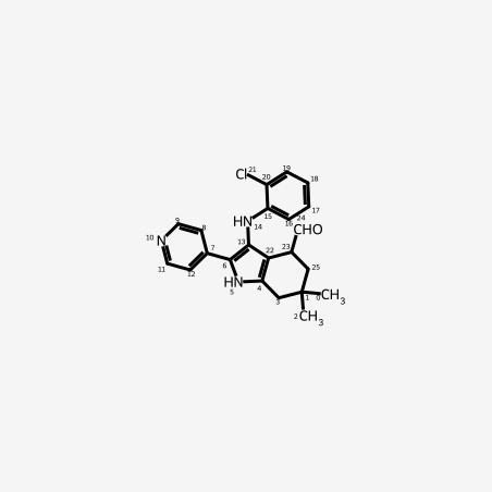 CC1(C)Cc2[nH]c(-c3ccncc3)c(Nc3ccccc3Cl)c2C(C=O)C1